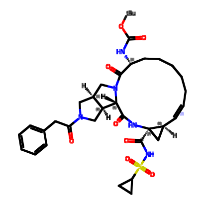 CC(C)(C)OC(=O)N[C@@H]1CCCCC/C=C\[C@H]2C[C@@]2(C(=O)NS(=O)(=O)C2CC2)NC(=O)[C@@H]2[C@H]3CN(C(=O)Cc4ccccc4)C[C@H]3CN2C1=O